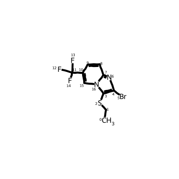 CCSc1c(Br)nc2ccc(C(F)(F)F)cn12